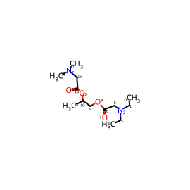 CCN(CC)CC(=O)OCC(C)OC(=O)CN(C)C